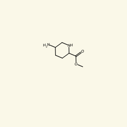 COC(=O)C1CCC(N)CN1